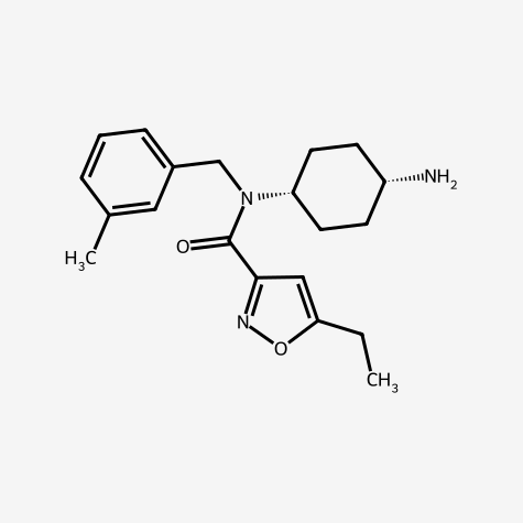 CCc1cc(C(=O)N(Cc2cccc(C)c2)[C@H]2CC[C@@H](N)CC2)no1